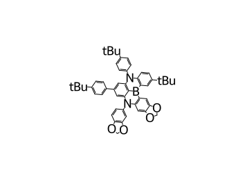 CC(C)(C)c1ccc(-c2cc3c4c(c2)N(c2ccc5c(c2)OCO5)c2cc5c(cc2B4c2cc(C(C)(C)C)ccc2N3c2ccc(C(C)(C)C)cc2)OCO5)cc1